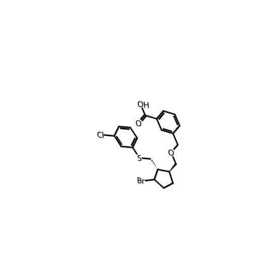 O=C(O)c1cccc(COC[C@H]2CCC(Br)[C@@H]2CSc2cccc(Cl)c2)c1